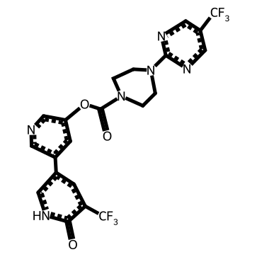 O=C(Oc1cncc(-c2c[nH]c(=O)c(C(F)(F)F)c2)c1)N1CCN(c2ncc(C(F)(F)F)cn2)CC1